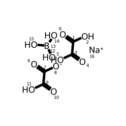 O=C(O)C(=O)O.O=C([O-])C(=O)O.OB(O)O.[Na+]